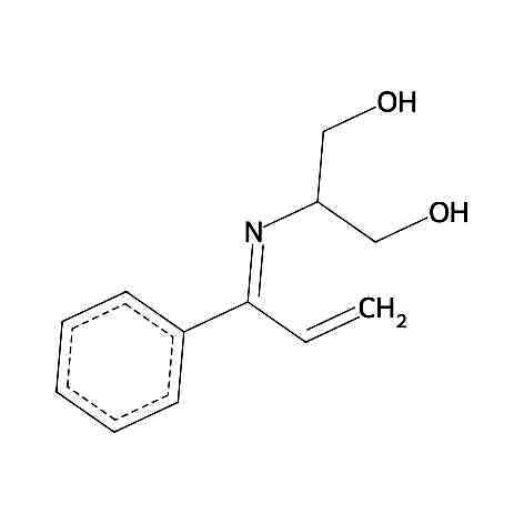 C=CC(=NC(CO)CO)c1ccccc1